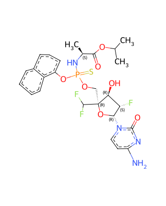 CC(C)OC(=O)[C@H](C)NP(=S)(OC[C@@]1(C(F)F)O[C@@H](n2ccc(N)nc2=O)[C@@H](F)[C@@H]1O)Oc1cccc2ccccc12